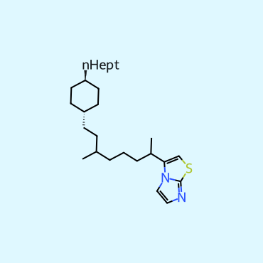 CCCCCCC[C@H]1CC[C@H](CCC(C)CCCC(C)c2csc3nccn23)CC1